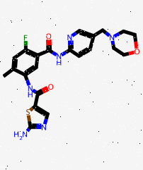 Cc1cc(F)c(C(=O)Nc2ccc(CN3CCOCC3)cn2)cc1NC(=O)c1cnc(N)s1